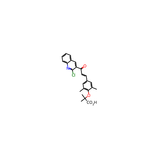 Cc1cc(/C=C/C(=O)c2cc3ccccc3nc2Cl)cc(C)c1OC(C)(C)C(=O)O